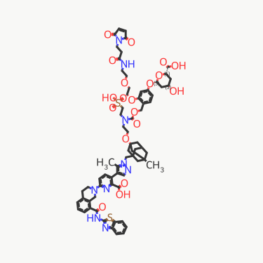 Cc1c(-c2ccc(N3CCc4cccc(C(=O)Nc5nc6ccccc6s5)c4C3)nc2C(=O)O)cnn1CC12CC3CC(C)(C1)CC(OCCN(CCS(=O)(=O)O)C(=O)OCc1ccc(O[C@H]4C[C@@H](O)C[C@@H](C(=O)O)O4)cc1OCCOCCNC(=O)CCN1C(=O)C=CC1=O)(C3)C2